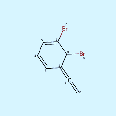 C=C=C1C=CC=C(Br)C1Br